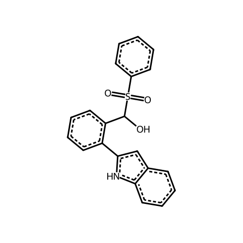 O=S(=O)(c1ccccc1)C(O)c1ccccc1-c1cc2ccccc2[nH]1